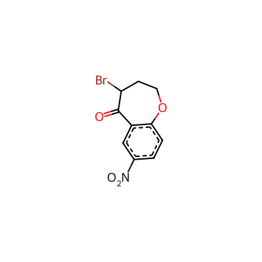 O=C1c2cc([N+](=O)[O-])ccc2OCCC1Br